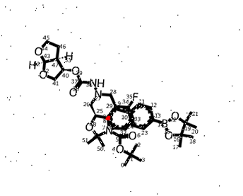 CC(C)(C)OC(=O)N1[C@@H](Cc2ccc(B3OC(C)(C)C(C)(C)O3)cc2)[C@H](CN(Cc2ccccc2F)NC(=O)O[C@H]2CO[C@H]3OCC[C@H]32)OC1(C)C